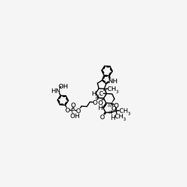 CC1(C)O[C@@]23CCC4(C)[C@@]5(C)c6[nH]c7ccccc7c6CC5C[C@H](OCCCOP(=O)(O)Oc5ccc(NO)cc5)[C@@]4(O)C2=CC(=O)[C@H]1O3